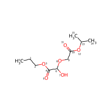 CCCOC(=O)C(O)OCC(=O)OC(C)C